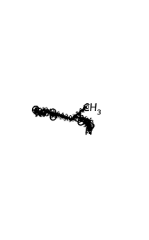 CCCCCC[C@H](C/C=C\CCCCCCCC(=O)OCCc1ccc(N=C=O)cc1)OCC(=O)Cc1ccc(OC#N)cc1